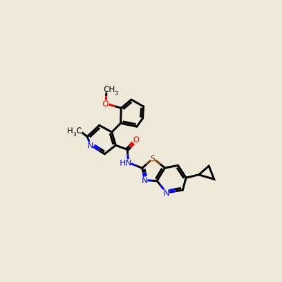 COc1ccccc1-c1cc(C)ncc1C(=O)Nc1nc2ncc(C3CC3)cc2s1